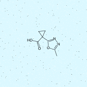 Cc1nnc(C2(C(=O)O)CC2)o1